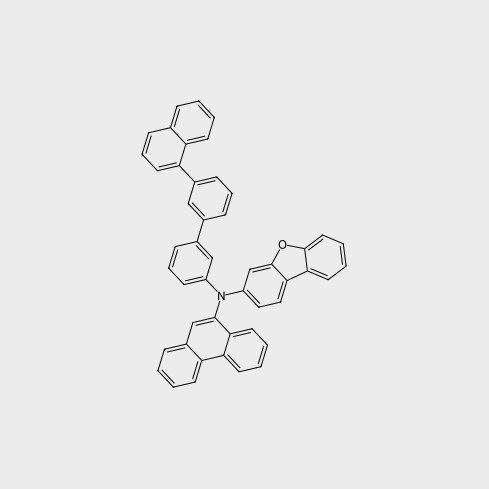 c1cc(-c2cccc(N(c3ccc4c(c3)oc3ccccc34)c3cc4ccccc4c4ccccc34)c2)cc(-c2cccc3ccccc23)c1